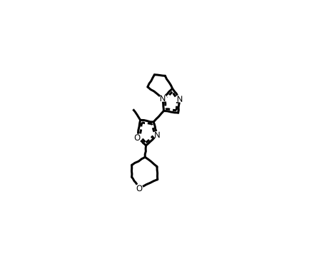 Cc1oc(C2CCOCC2)nc1-c1cnc2n1CCC2